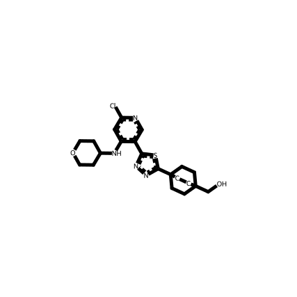 OCC12CCC(c3nnc(-c4cnc(Cl)cc4NC4CCOCC4)s3)(CC1)CC2